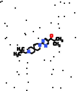 CC(C)CN1CCC2(CC1)CCN(c1ncc(C(=O)C(C)C)cn1)CC2